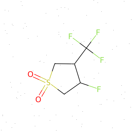 O=S1(=O)CC(F)C(C(F)(F)F)C1